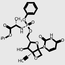 C#C[C@@]12OC[C@@]1(n1ccc(=O)[nH]c1=O)O[C@H](CO[P@@](=O)(N[C@@H](C)C(=O)OC(C)C)Oc1ccccc1)C2O